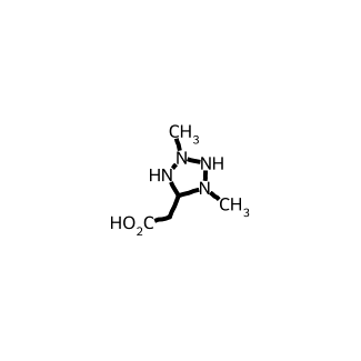 CN1NC(CC(=O)O)N(C)N1